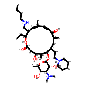 CCCCNCC1C=C(C)C=CC(=O)C(C)CC(CCN2CCCCC2)C(O[C@@H]2O[C@H](C)[C@@H](O)[C@H](N(C)C)[C@H]2O)C(C)C(O)CC(=O)OC1CC